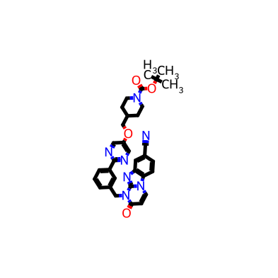 CC(C)(C)OC(=O)N1CCC(COc2cnc(-c3cccc(Cn4c(=O)ccn5c6ccc(C#N)cc6nc45)c3)nc2)CC1